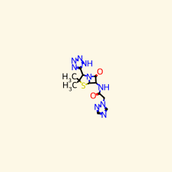 CC1(C)SC2C(NC(=O)Cn3cncn3)C(=O)N2C1c1nnn[nH]1